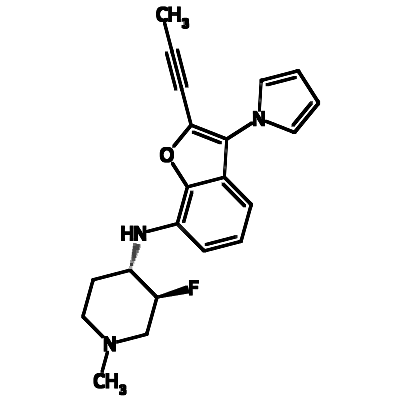 CC#Cc1oc2c(N[C@H]3CCN(C)C[C@@H]3F)cccc2c1-n1cccc1